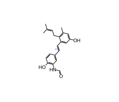 CC(C)=CCc1c(C)cc(O)cc1/C=C/c1ccc(O)c(NC=O)c1